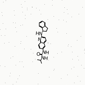 CC(C)NC(=O)Nc1ccc2nc(N[C@@H]3CCc4ccccc43)ccc2c1